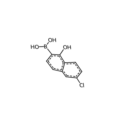 OB(O)c1ccc2cc(Cl)ccc2c1O